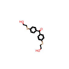 O=C(c1ccc(SCCO)cc1)c1ccc(SCCO)cc1